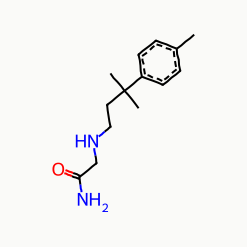 Cc1ccc(C(C)(C)CCNCC(N)=O)cc1